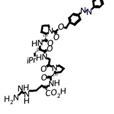 CC(C)C[C@H](NC(=O)[C@@H]1CCCN1C(=O)OCc1ccc(/N=N/c2ccccc2)cc1)C(=O)NCC(=O)N1CCC[C@H]1C(=O)N[C@H](CCCNC(=N)N)C(=O)O